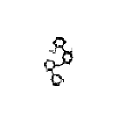 COc1ccccc1-c1cc(C=C2CCCN=C2c2cccnc2)ccc1F